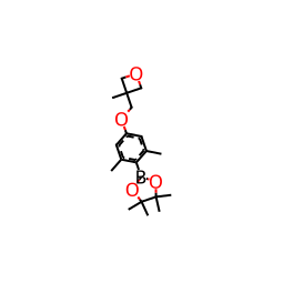 Cc1cc(OCC2(C)COC2)cc(C)c1B1OC(C)(C)C(C)(C)O1